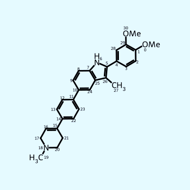 COc1ccc(-c2[nH]c3ccc(-c4ccc(C5=CCN(C)CC5)cc4)cc3c2C)cc1OC